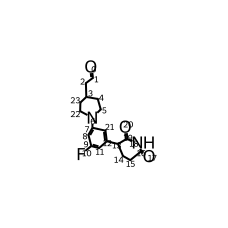 O=CCC1CCN(c2cc(F)cc(C3CCC(=O)NC3=O)c2)CC1